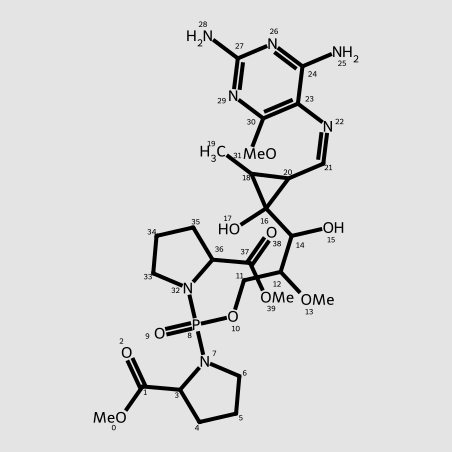 COC(=O)C1CCCN1P(=O)(OCC(OC)C(O)C1(O)C(C)C1/C=N\c1c(N)nc(N)nc1OC)N1CCCC1C(=O)OC